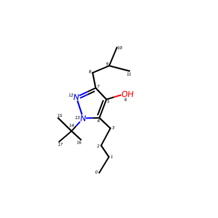 CCCCc1c(O)c(CC(C)C)nn1C(C)(C)C